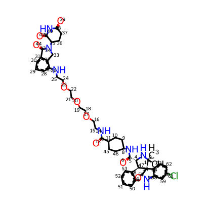 CC1(C)N[C@@H](C(=O)NC2CCC(C(=O)NCCOCCOCCOCCNc3cccc4c3CN(C3CCC(=O)NC3=O)C4=O)CC2)[C@H](c2ccccc2)[C@]12C(=O)Nc1cc(Cl)ccc12